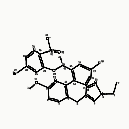 CCn1cc(Cc2ccc(OC)nc2-c2ccc(F)cc2[C@@H](C)Oc2cc(Br)cnc2[N+](=O)[O-])cn1